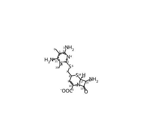 Cc1c(N)nc(SCC2C=C(C(=O)[O-])N3C(=O)C(N)[C@H]3S2)[n+](C)c1N